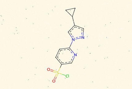 O=S(=O)(Cl)c1ccc(-n2cc(C3CC3)cn2)nc1